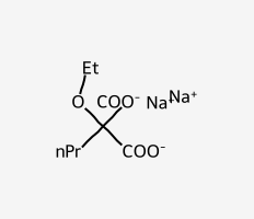 CCCC(OCC)(C(=O)[O-])C(=O)[O-].[Na+].[Na+]